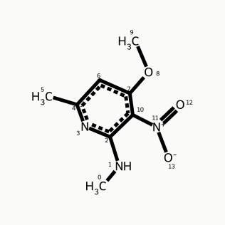 CNc1nc(C)cc(OC)c1[N+](=O)[O-]